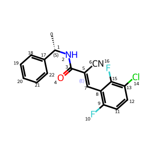 C[C@H](NC(=O)/C(C#N)=C/c1c(F)ccc(Cl)c1F)c1ccccc1